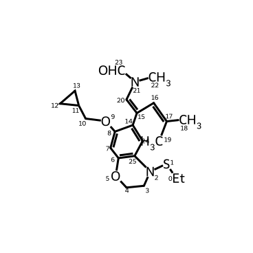 CCSN1CCOc2cc(OCC3CC3)c(/C(C=C(C)C)=C/N(C)C=O)cc21